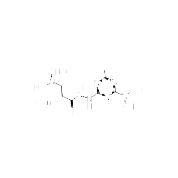 CCCCC[C@H](CN(O)C=O)C(=O)NNc1nc(CC)nc(N(C)C)n1